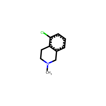 CN1CCc2c(Cl)cccc2C1